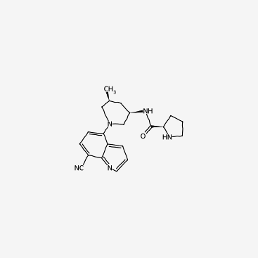 C[C@H]1C[C@@H](NC(=O)[C@H]2CCCN2)CN(c2ccc(C#N)c3ncccc23)C1